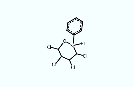 CC[Si]1(c2ccccc2)OC(Cl)C(Cl)C(Cl)C1Cl